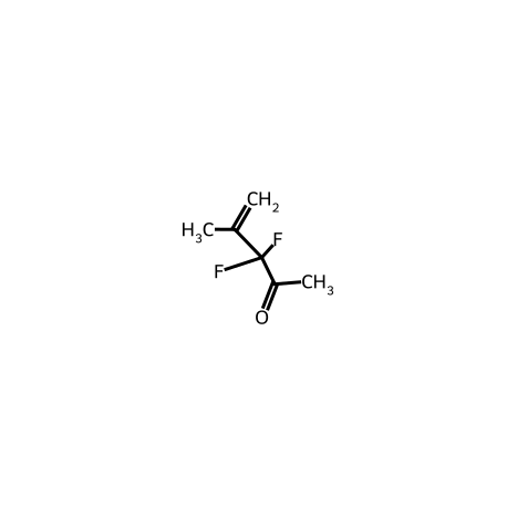 C=C(C)C(F)(F)C(C)=O